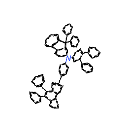 c1ccc(-c2ccc(N(c3ccc(-c4ccc5c(c4)c(-c4ccccc4)c(-c4ccccc4)c4ccccc45)cc3)c3ccc4c(c3)C(c3ccccc3)(c3ccccc3)c3ccccc3-4)cc2-c2ccccc2)cc1